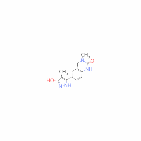 Cc1c(O)n[nH]c1-c1ccc2c(c1)CN(C)C(=O)N2